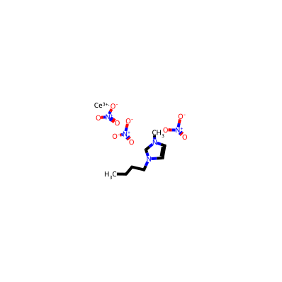 CCCCN1C=CN(C)C1.O=[N+]([O-])[O-].O=[N+]([O-])[O-].O=[N+]([O-])[O-].[Ce+3]